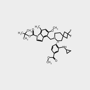 COC(=O)c1ccc([C@H]2CC3(CCN2Cc2c(OC)cc(C)c4c2ccn4C(=O)OC(C)(C)C)CC(F)(F)C3)c(NC2CC2)c1